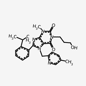 Cc1ccc(Cn2c(-c3ccccc3C(C)C)nc3c2c(=O)n(CCCO)c(=O)n3C)nc1